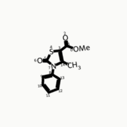 COC(=O)c1sc(=O)n(-c2ccccc2)c1C